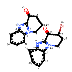 O=C1CCCn2c1nc1ccccc12.O=C1c2nc3ccccc3n2CCC1Br